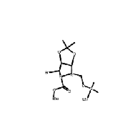 CC(C)(C)OC(=O)N1C(Br)C2OC(C)(C)OC2[C@H]1CO[Si](C)(C)C(C)(C)C